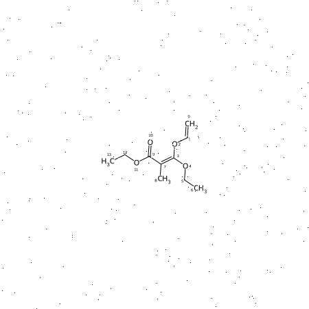 C=COC(OCC)=C(C)C(=O)OCC